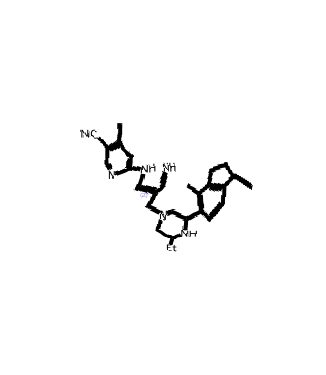 C=C1CCc2c1ccc(C1CN(C/C(C=N)=C/Nc3cc(C)c(C#N)cn3)CC(CC)N1)c2C